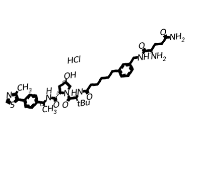 Cc1ncsc1-c1ccc([C@H](C)NC(=O)[C@@H]2C[C@@H](O)CN2C(=O)[C@@H](NC(=O)CCCCCc2cccc(CNC(=O)[C@@H](N)CCC(N)=O)c2)C(C)(C)C)cc1.Cl